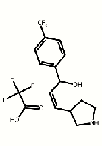 O=C(O)C(F)(F)F.OC(/C=C\C1CCNC1)c1ccc(C(F)(F)F)cc1